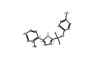 CC(C)(Oc1ccc(Cl)cc1)c1nnc(-c2ccncc2Br)o1